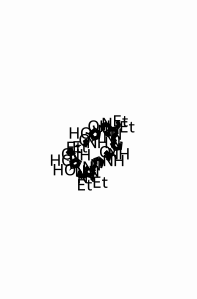 CCC(=O)N[C@H]1C[C@@H](n2cnc3c(C(CC)CC)nc(N4CC[C@@H](NC(=O)N[C@@H]5CCN(c6nc(C(CC)CC)c7ncn([C@@H]8C[C@H](NC(=O)CC)[C@@H](O)[C@H]8O)c7n6)C5)C4)nc32)[C@H](O)[C@@H]1O